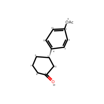 CC(=O)Oc1ccc([C@H]2CCCC(=O)C2)cc1